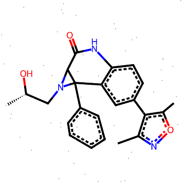 Cc1noc(C)c1-c1ccc2c(c1)C1(c3ccccc3)C(C(=O)N2)N1C[C@H](C)O